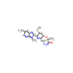 CCSc1cc(OC(C)(C)C(N)=O)cnc1-c1nc2cc(C(F)(F)F)cnc2n1C